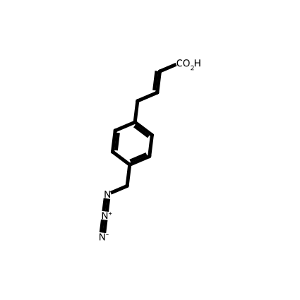 [N-]=[N+]=NCc1ccc(CC=CC(=O)O)cc1